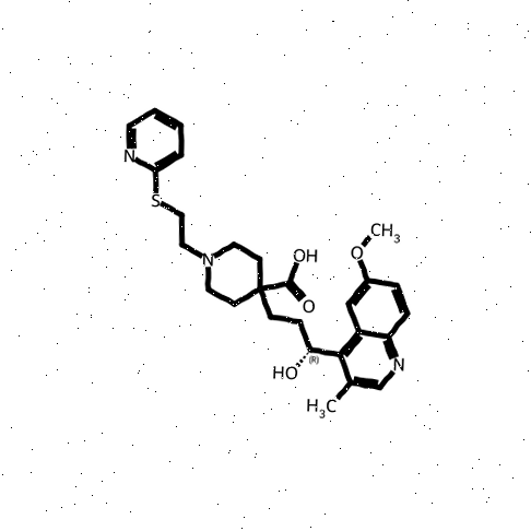 COc1ccc2ncc(C)c([C@H](O)CCC3(C(=O)O)CCN(CCSc4ccccn4)CC3)c2c1